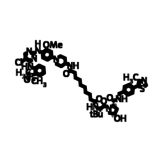 COc1cc(N2CCC(NC(=O)CCCCCCCCC(=O)N[C@H](C(=O)N3C[C@H](O)C[C@H]3C(=O)NCc3ccc(-c4scnc4C)cc3)C(C)(C)C)CC2)ccc1Nc1ncc(Cl)c(Nc2ccccc2P(C)(C)=O)n1